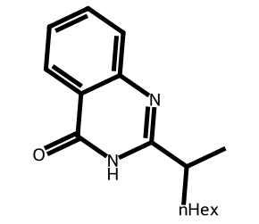 CCCCCCC(C)c1nc2ccccc2c(=O)[nH]1